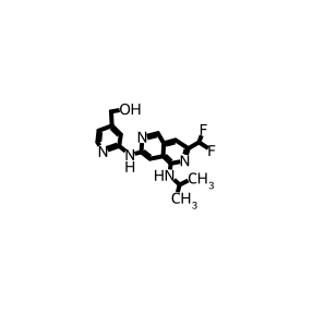 CC(C)Nc1nc(C(F)F)cc2cnc(Nc3cc(CO)ccn3)cc12